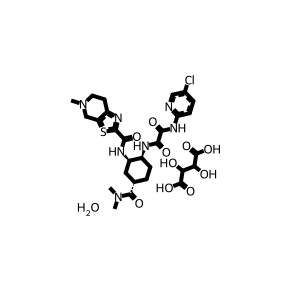 CN1CCc2nc(C(=O)N[C@@H]3C[C@@H](C(=O)N(C)C)CC[C@@H]3NC(=O)C(=O)Nc3ccc(Cl)cn3)sc2C1.O.O=C(O)C(O)C(O)C(=O)O